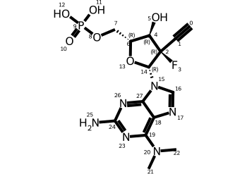 C#C[C@@]1(F)[C@H](O)[C@@H](COP(=O)(O)O)O[C@H]1n1cnc2c(N(C)C)nc(N)nc21